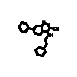 N#Cc1nnc2cc(-c3ccncc3)ccc2c1NCCc1ccccc1